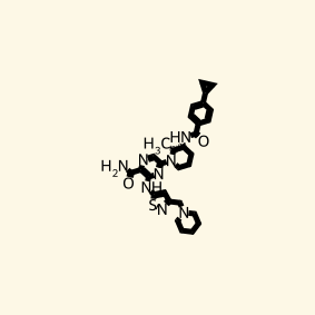 C[C@@H]1[C@H](NC(=O)c2ccc(C3CC3)cc2)CCCN1c1cnc(C(N)=O)c(Nc2cc(CN3CCCCC3)ns2)n1